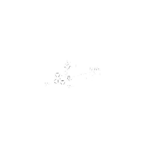 COc1ccc(C(OC[C@H]2O[C@@H](n3cc(C)c(=O)[nH]c3=O)CC2OP(=O)(OCCOCCOCCO[C@@H]2O[C@H](COC(C)=O)[C@H](OC(C)=O)[C@H](OC(C)=O)[C@@H]2NC(C)=O)N(C(C)C)C(C)C)(c2ccccc2)c2ccc(OC)cc2)cc1